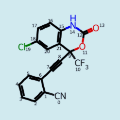 N#Cc1ccccc1C#CC1(C(F)(F)F)OC(=O)Nc2ccc(Cl)cc21